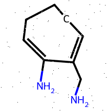 NCC1=CCCCC=C1N